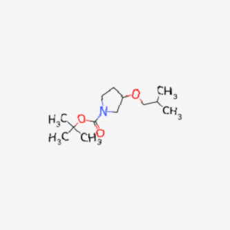 CC(C)COC1CCN(C(=O)OC(C)(C)C)C1